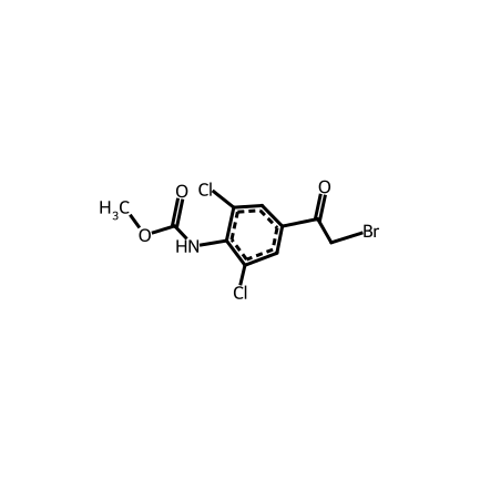 COC(=O)Nc1c(Cl)cc(C(=O)CBr)cc1Cl